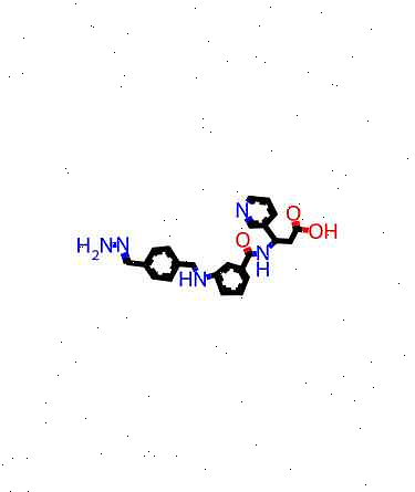 NN=Cc1ccc(CNc2cccc(C(=O)NC(CC(=O)O)c3cccnc3)c2)cc1